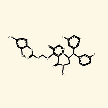 CCN1CC(C(c2cccc(F)c2)c2cccc(F)c2)n2ncc(=O)c(OCOC(=O)Oc3ccc([N+](=O)[O-])cc3C)c2C1=O